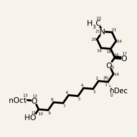 CCCCCCCCCC[C@H](CCCCCCCCC(O)OCCCCCCCC)COC(=O)C1CCN(C)CC1